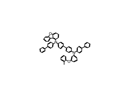 Cc1ccccc1Oc1cccc(N(c2ccc(-c3ccccc3)cc2)c2ccc(-c3ccc(N(c4ccc(-c5ccccc5)cc4)c4cccc5oc6ccccc6c45)cc3)cc2)c1